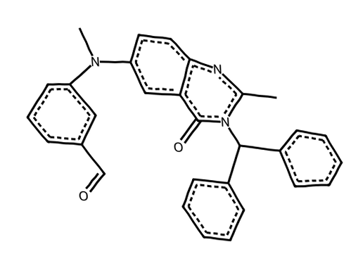 Cc1nc2ccc(N(C)c3cccc(C=O)c3)cc2c(=O)n1C(c1ccccc1)c1ccccc1